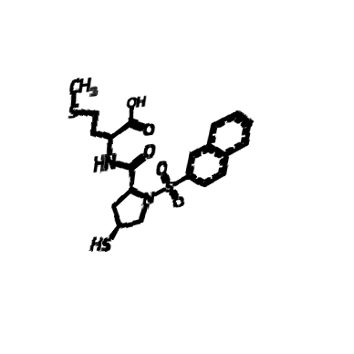 CSCCC(NC(=O)[C@@H]1C[C@H](S)CN1S(=O)(=O)c1ccc2ccccc2c1)C(=O)O